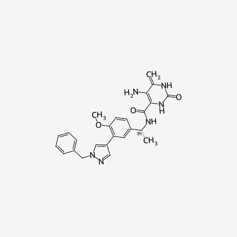 C=C1NC(=O)NC(C(=O)N[C@H](C)c2ccc(OC)c(-c3cnn(Cc4ccccc4)c3)c2)=C1N